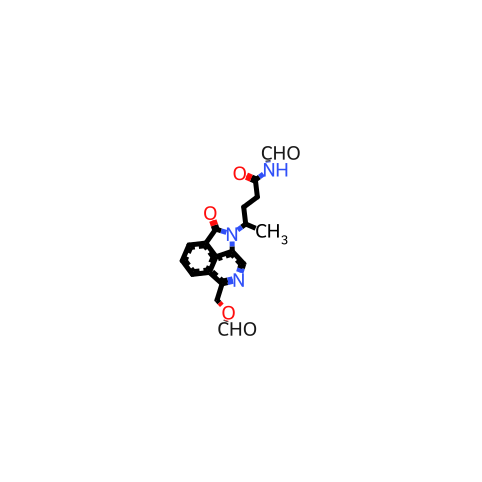 CC(CCC(=O)NC=O)N1C(=O)c2cccc3c(COC=O)ncc1c23